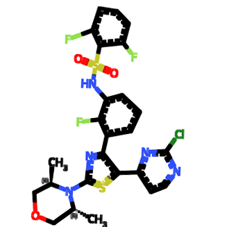 C[C@@H]1COC[C@@H](C)N1c1nc(-c2cccc(NS(=O)(=O)c3c(F)cccc3F)c2F)c(-c2ccnc(Cl)n2)s1